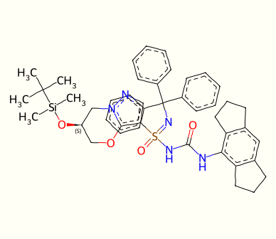 CC(C)(C)[Si](C)(C)O[C@@H]1COc2c(S(=O)(=NC(c3ccccc3)(c3ccccc3)c3ccccc3)NC(=O)Nc3c4c(cc5c3CCC5)CCC4)cnn2C1